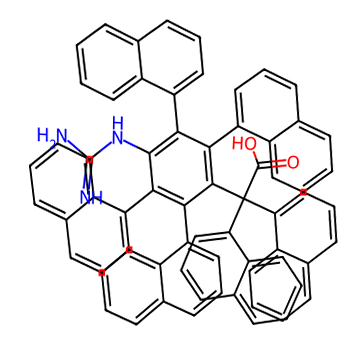 N=C(N)Nc1c(-c2cccc3ccccc23)c(-c2cccc3ccccc23)c(C(C(=O)O)(c2cccc3ccccc23)c2cccc3ccccc23)c(-c2cccc3ccccc23)c1-c1cccc2ccccc12